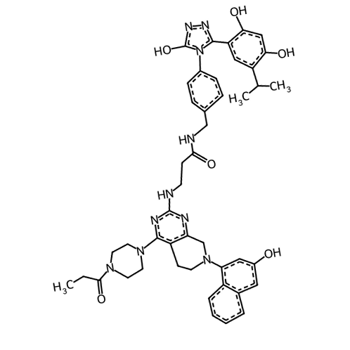 CCC(=O)N1CCN(c2nc(NCCC(=O)NCc3ccc(-n4c(O)nnc4-c4cc(C(C)C)c(O)cc4O)cc3)nc3c2CCN(c2cc(O)cc4ccccc24)C3)CC1